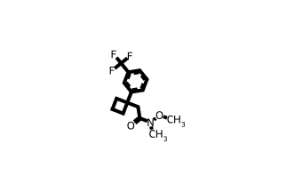 CON(C)C(=O)CC1(c2cccc(C(F)(F)F)c2)CCC1